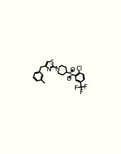 Cc1cccc(Cc2csc(N3CCC(S(=O)(=O)c4cc(C(F)(F)F)ccc4Cl)CC3)n2)c1